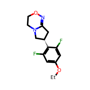 CCOc1cc(F)c([C@H]2CC3=NOCCN3C2)c(F)c1